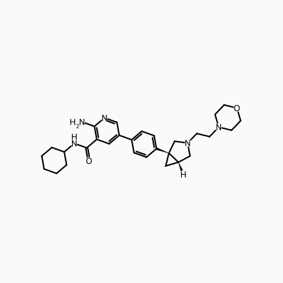 Nc1ncc(-c2ccc([C@]34C[C@H]3CN(CCN3CCOCC3)C4)cc2)cc1C(=O)NC1CCCCC1